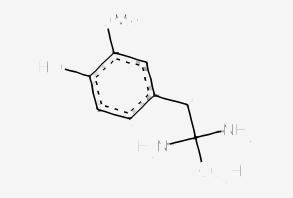 COc1cc(CC(N)(N)C(=O)O)ccc1O